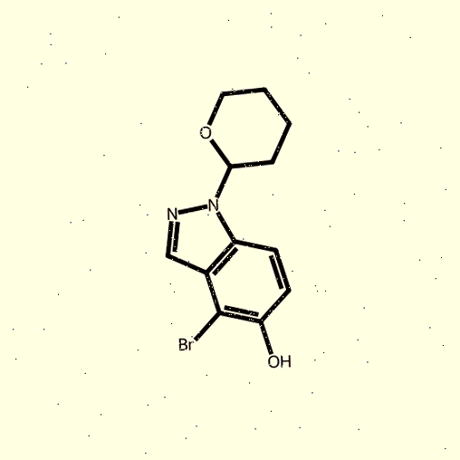 Oc1ccc2c(cnn2C2CCCCO2)c1Br